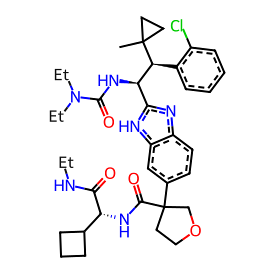 CCNC(=O)[C@H](NC(=O)C1(c2ccc3nc([C@@H](NC(=O)N(CC)CC)[C@H](c4ccccc4Cl)C4(C)CC4)[nH]c3c2)CCOC1)C1CCC1